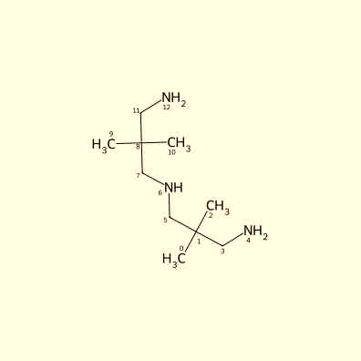 CC(C)(CN)CNCC(C)(C)CN